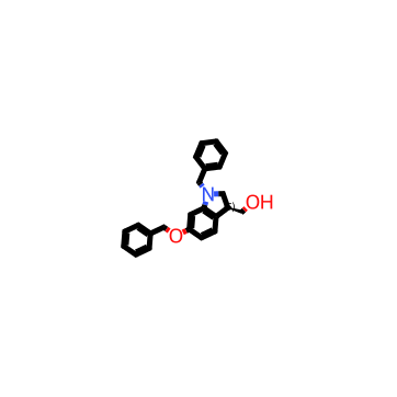 OC[C@@H]1CN(Cc2ccccc2)c2cc(OCc3ccccc3)ccc21